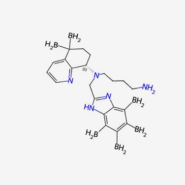 Bc1c(B)c(B)c2[nH]c(CN(CCCCN)[C@H]3CCC(B)(B)c4cccnc43)nc2c1B